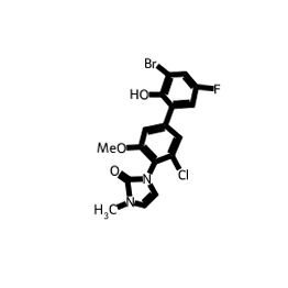 COc1cc(-c2cc(F)cc(Br)c2O)cc(Cl)c1-n1ccn(C)c1=O